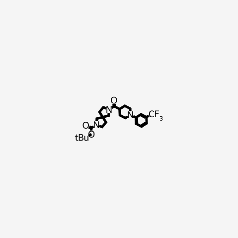 CC(C)(C)OC(=O)N1CCC2(CCN(C(=O)C3CCN(c4cccc(C(F)(F)F)c4)CC3)C2)C1